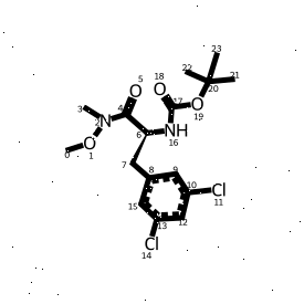 CON(C)C(=O)[C@H](Cc1cc(Cl)cc(Cl)c1)NC(=O)OC(C)(C)C